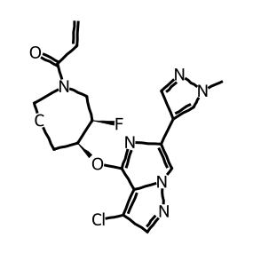 C=CC(=O)N1CCC[C@H](Oc2nc(-c3cnn(C)c3)cn3ncc(Cl)c23)[C@H](F)C1